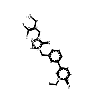 CCn1cc(-c2cccc(Cn3nnn(CC(CN)=C(F)F)c3=O)c2)ccc1=O